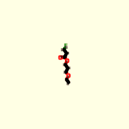 CCOCCCOC(=O)CCF